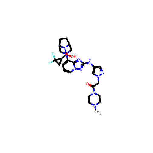 CN1CCN(C(=O)Cn2cc(Nc3nc4c(N5CC6CCC(C5)N6C(O)C5CC5(F)F)cccn4n3)cn2)CC1